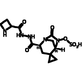 O=C(NNC(=O)[C@@H]1CC2(CC2)[C@@H]2CN1C(=O)N2OS(=O)(=O)O)C1CCN1